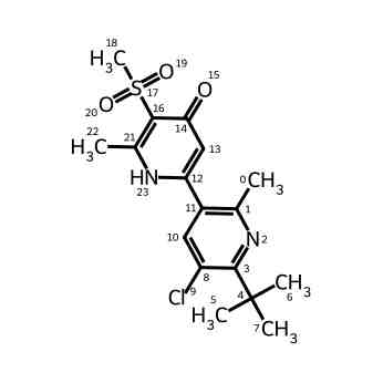 Cc1nc(C(C)(C)C)c(Cl)cc1-c1cc(=O)c(S(C)(=O)=O)c(C)[nH]1